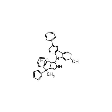 CC1C(C(C)(c2ccccc2)c2ccccc2)=CNC1n1c2c(c3cc(-c4ccccc4)ccc31)=CCC(O)C=2